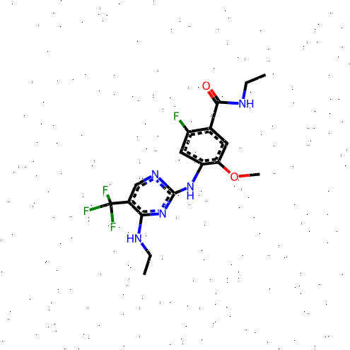 CCNC(=O)c1cc(OC)c(Nc2ncc(C(F)(F)F)c(NCC)n2)cc1F